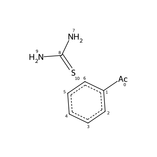 CC(=O)c1ccccc1.NC(N)=S